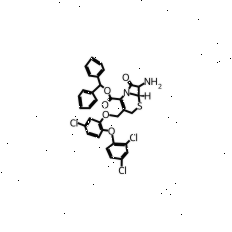 NC1C(=O)N2C(C(=O)OC(c3ccccc3)c3ccccc3)=C(COc3cc(Cl)ccc3Oc3ccc(Cl)cc3Cl)CS[C@@H]12